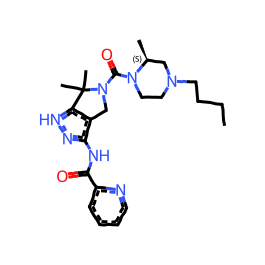 CCCCN1CCN(C(=O)N2Cc3c(NC(=O)c4ccccn4)n[nH]c3C2(C)C)[C@@H](C)C1